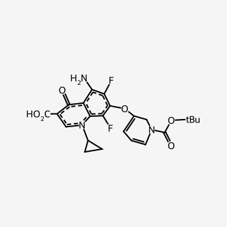 CC(C)(C)OC(=O)N1C=CC=C(Oc2c(F)c(N)c3c(=O)c(C(=O)O)cn(C4CC4)c3c2F)C1